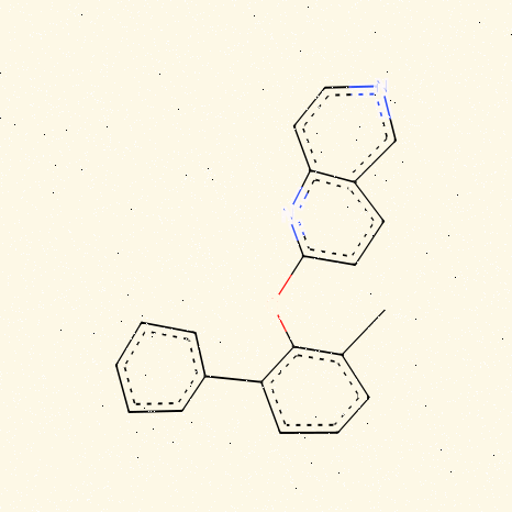 Cc1cccc(-c2ccccc2)c1Oc1ccc2cnccc2n1